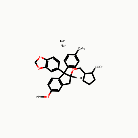 CCCOc1ccc2c(c1)CC(OCC1CCCC1C(=O)[O-])(C(=O)[O-])C2(c1ccc(OC)cc1)c1ccc2c(c1)OCO2.[Na+].[Na+]